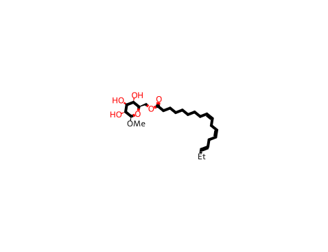 CCC=CC/C=C\C/C=C\CCCCCCCC(=O)OC[C@H]1O[C@H](OC)[C@H](O)[C@@H](O)[C@@H]1O